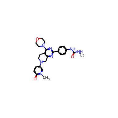 CCNC(=O)Nc1ccc(-c2nc3c(c(N4CCOCC4)n2)CCN(c2ccc(=O)n(C)c2)C3)cc1